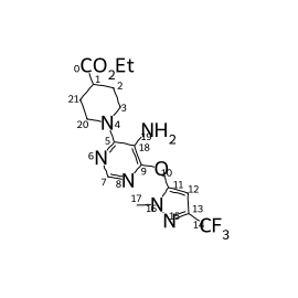 CCOC(=O)C1CCN(c2ncnc(Oc3cc(C(F)(F)F)nn3C)c2N)CC1